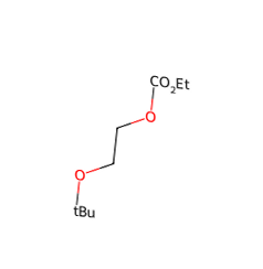 CCOC(=O)OCCOC(C)(C)C